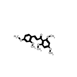 COc1ccc(C=CC(=O)c2c(OC)cc(OC)cc2OC)c(OC)c1